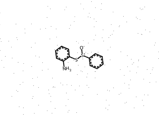 Nc1ccccc1S[S+]([O-])c1ccccc1